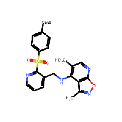 COc1ccc(S(=O)(=O)c2ncccc2CNc2c(C(=O)O)cnc3onc(C)c23)cc1